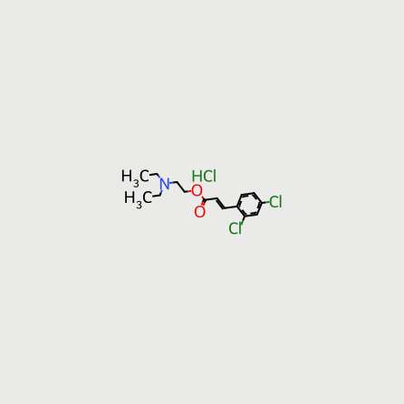 CCN(CC)CCOC(=O)/C=C/c1ccc(Cl)cc1Cl.Cl